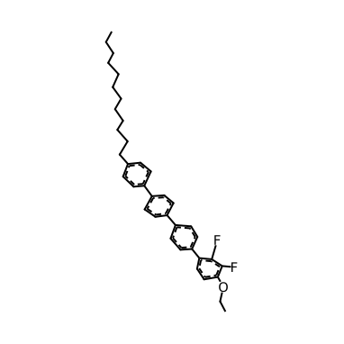 CCCCCCCCCCCCc1ccc(-c2ccc(-c3ccc(-c4ccc(OCC)c(F)c4F)cc3)cc2)cc1